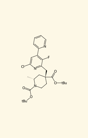 C[C@@H]1C[C@](Cc2nc(Cl)cc(-c3ccccn3)c2F)(C(=O)OC(C)(C)C)CCN1C(=O)OC(C)(C)C